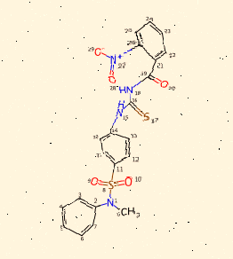 CN(c1ccccc1)S(=O)(=O)c1ccc(NC(=S)NC(=O)c2ccccc2[N+](=O)[O-])cc1